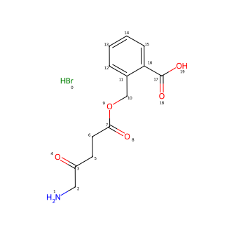 Br.NCC(=O)CCC(=O)OCc1ccccc1C(=O)O